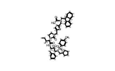 CC[C@H](C)[C@@H](C(=O)N[C@@H](Cc1ccccc1)[C@H](O)CN(CC1CCCC1)S(=O)(=O)c1ccc(OC)cc1)N1CCN(Cc2csc(CN(CC3c4ccccc4-c4ccccc43)C(=O)O)n2)C1=O